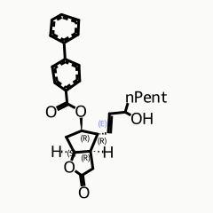 CCCCCC(O)/C=C/[C@@H]1[C@H]2CC(=O)O[C@H]2C[C@H]1OC(=O)c1ccc(-c2ccccc2)cc1